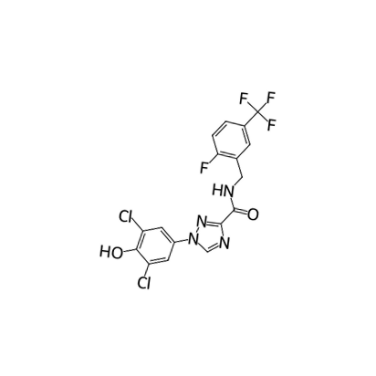 O=C(NCc1cc(C(F)(F)F)ccc1F)c1ncn(-c2cc(Cl)c(O)c(Cl)c2)n1